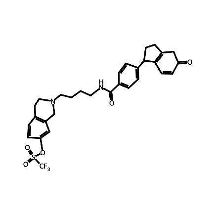 O=C1C=CC2=C(CCC2c2ccc(C(=O)NCCCCN3CCc4ccc(OS(=O)(=O)C(F)(F)F)cc4C3)cc2)C1